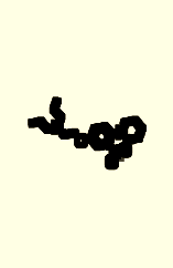 CCCN(CCC)CCOc1ccc(N2CCCCC2)c([N+](=O)[O-])c1